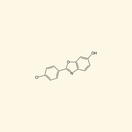 Oc1ccc2nc(-c3ccc(Cl)cc3)oc2c1